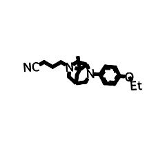 CCOc1ccc(N2CC3CN(CCCC#N)CC2C(C)(C)C3)cc1